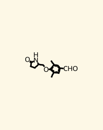 Cc1cc(C=O)cc(C)c1OCC1CCC(=O)N1